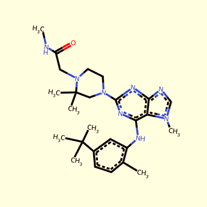 CNC(=O)CN1CCN(c2nc(Nc3cc(C(C)(C)C)ccc3C)c3c(ncn3C)n2)CC1(C)C